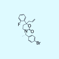 C=CCC1(c2ccccc2F)CCN([C@@H](C)c2ccc(Br)cc2)C(=O)O1